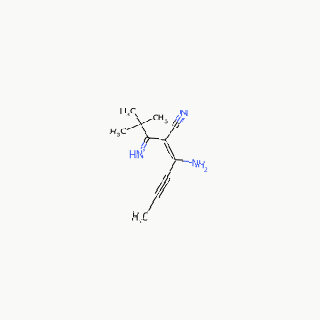 CC#C/C(N)=C(/C#N)C(=N)C(C)(C)C